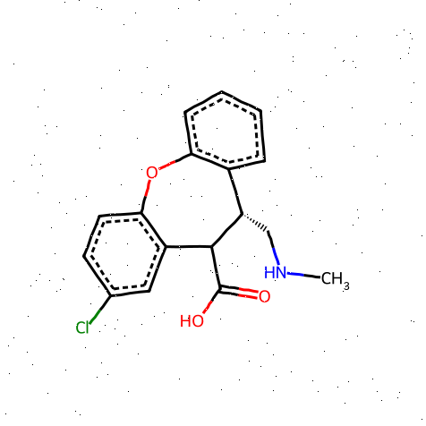 CNC[C@H]1c2ccccc2Oc2ccc(Cl)cc2C1C(=O)O